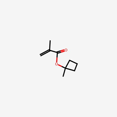 C=C(C)C(=O)OC1(C)CCC1